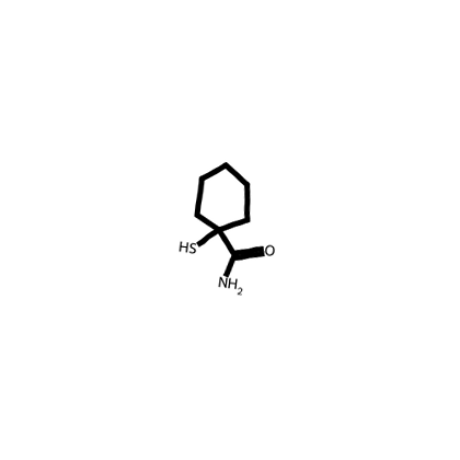 NC(=O)C1(S)CCCCC1